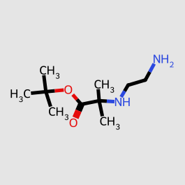 CC(C)(C)OC(=O)C(C)(C)NCCN